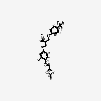 Cc1cc(SCC(COc2ccc(C(F)(F)F)cc2)=C(F)F)ccc1OCC1OC(C)O1